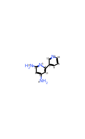 Nc1cc(N)nc(-c2cccnc2)c1